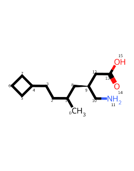 CC(CCC1CCC1)C[C@H](CN)CC(=O)O